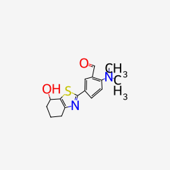 CN(C)c1ccc(-c2nc3c(s2)C(O)CCC3)cc1C=O